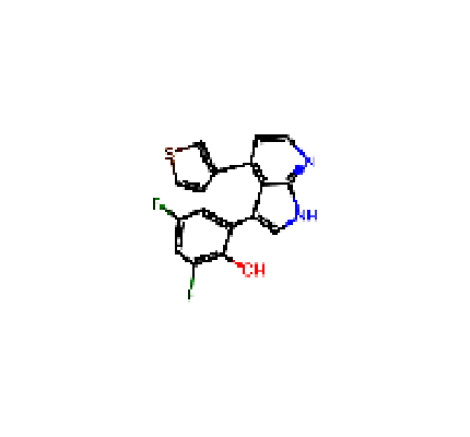 Oc1c(F)cc(F)cc1-c1c[nH]c2nccc(-c3ccsc3)c12